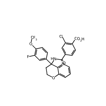 O=C(NC1(c2ccc(OC(F)(F)F)c(F)c2)CCOc2cccnc21)c1ccc(C(=O)O)c(Cl)c1